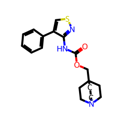 O=C(Nc1nscc1-c1ccccc1)OCC12CCN(CC1)CC2